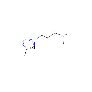 Cc1cn(CCCN(C)C)nn1